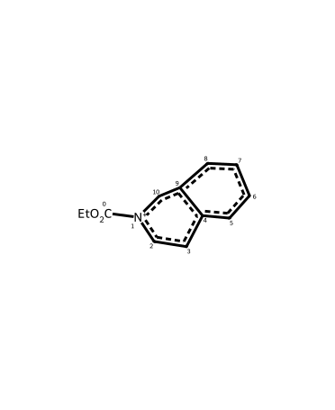 CCOC(=O)[n+]1ccc2ccccc2c1